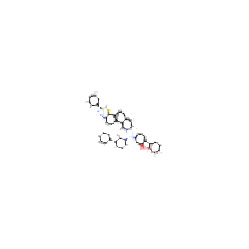 c1ccc(-c2cccc(N(c3ccc4c(c3)oc3ccccc34)c3ccc4ccc5c(ccc6nc(-c7ccccc7)sc65)c4c3)c2)cc1